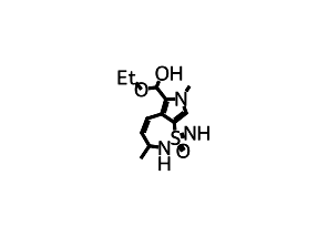 CCOC(O)c1c2c(cn1C)S(=N)(=O)NC(C)C=C2